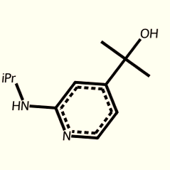 CC(C)Nc1cc(C(C)(C)O)ccn1